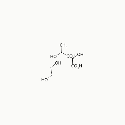 CC(O)C(=O)O.O=C(O)CO.OCCO